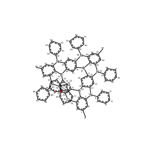 Cc1cc2c3c(c1)N(c1ccccc1)c1cc4c(cc1B3c1sc3ccccc3c1O2)B1c2cc3c(cc2N(c2ccccc2)c2cc(C)cc(c21)N4c1ccccc1)N(c1ccccc1)c1cc(C)cc2c1B3c1sc3ccccc3c1N2c1ccccc1